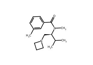 Cc1cccc(C(=O)N(C)[C@H](CN2CCC2)C(C)C)c1